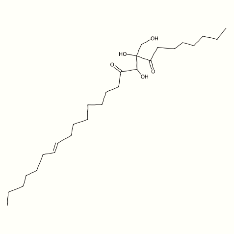 CCCCCCC=CCCCCCCCC(=O)C(O)C(O)(CO)C(=O)CCCCCCC